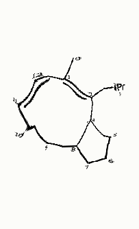 CC1=C(\C(C)C)[C]2CCCC2CC/C=C\1